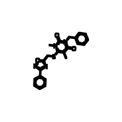 Cc1c(SCc2nc(-c3ccccc3)no2)n(C)c(=O)n(Cc2ccccc2)c1=O